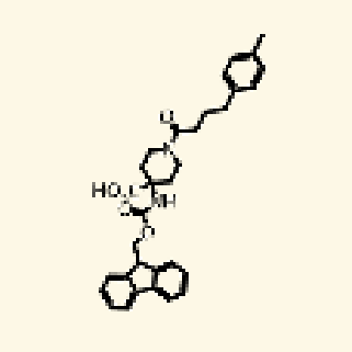 Cc1ccc(CCCC(=O)N2CCC(NC(=O)OCC3c4ccccc4-c4ccccc43)(C(=O)O)CC2)cc1